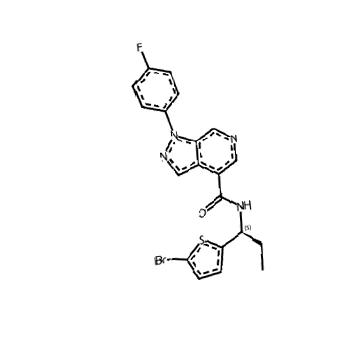 CC[C@H](NC(=O)c1cncc2c1cnn2-c1ccc(F)cc1)c1ccc(Br)s1